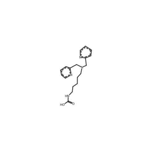 O=C(O)NCCCCCN(Cc1ccccn1)Cc1ccccn1